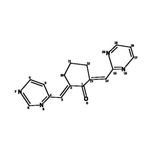 O=C1/C(=C/c2ccncn2)CCC/C1=C\c1ncccn1